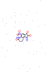 O=C1CCCc2c3c(cc([N+](=O)[O-])c2N1)C(=O)C(=O)N3